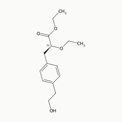 CCOC(=O)[C@H](Cc1ccc(CCO)cc1)OCC